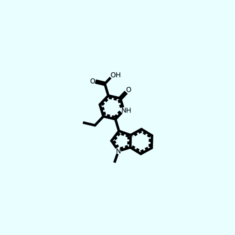 CCc1cc(C(=O)O)c(=O)[nH]c1-c1cn(C)c2ccccc12